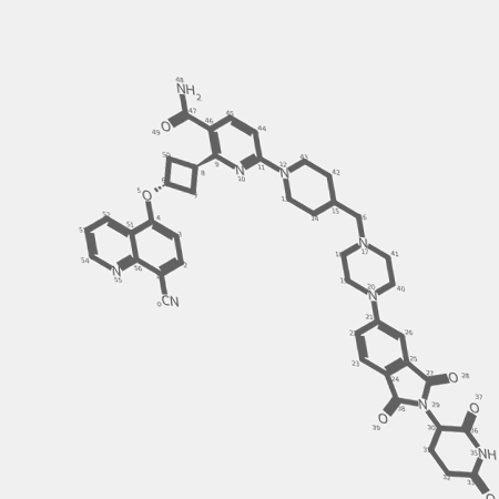 N#Cc1ccc(O[C@H]2C[C@H](c3nc(N4CCC(CN5CCN(c6ccc7c(c6)C(=O)N(C6CCC(=O)NC6=O)C7=O)CC5)CC4)ccc3C(N)=O)C2)c2cccnc12